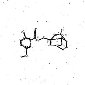 COc1ccc(Cl)c(C(=O)NCC23CC4CCC(C(F)C2)C(F)(C4)C3)c1